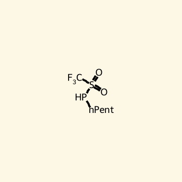 CCCCCPS(=O)(=O)C(F)(F)F